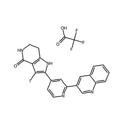 O=C(O)C(F)(F)F.O=C1NCCc2[nH]c(-c3ccnc(-c4cnc5ccccc5c4)c3)c(I)c21